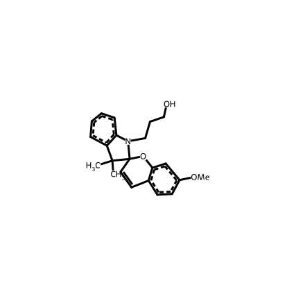 COc1ccc2c(c1)OC1(C=C2)N(CCCO)c2ccccc2C1(C)C